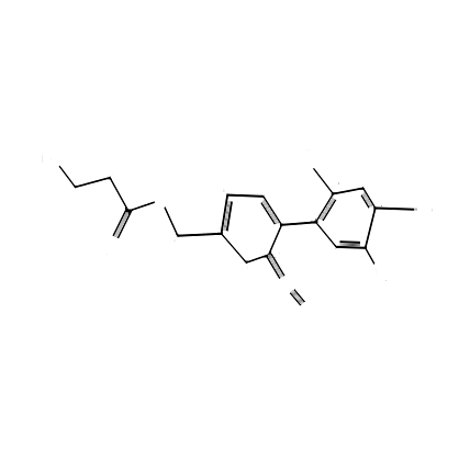 CCCC(=O)OCC1=CC=C(c2cc(F)c(F)cc2F)C(=C=O)C1